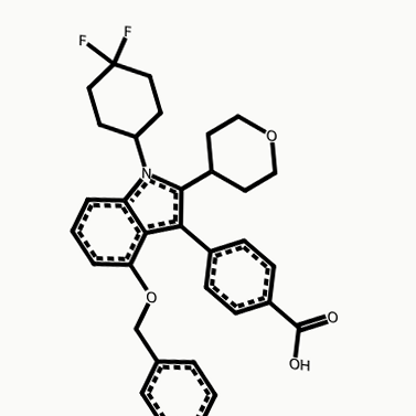 O=C(O)c1ccc(-c2c(C3CCOCC3)n(C3CCC(F)(F)CC3)c3cccc(OCc4ccccc4)c23)cc1